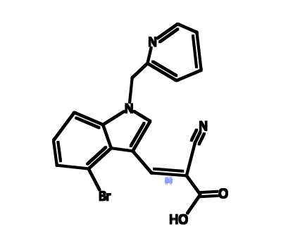 N#C/C(=C\c1cn(Cc2ccccn2)c2cccc(Br)c12)C(=O)O